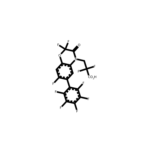 O=C(O)C(F)(F)CN1C(=O)C(F)(F)Oc2cc(F)c(-c3c(F)c(F)c(F)c(F)c3F)cc21